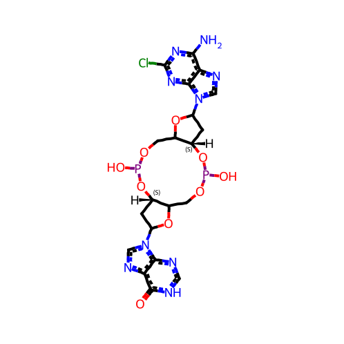 Nc1nc(Cl)nc2c1ncn2C1C[C@@H]2OP(O)OCC3OC(n4cnc5c(=O)[nH]cnc54)C[C@@H]3OP(O)OCC2O1